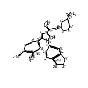 N#Cc1ccc(-c2cc(C(=O)N3CCCC(N)C3)nn2-c2ccc3c(c2)CCC3)cc1F